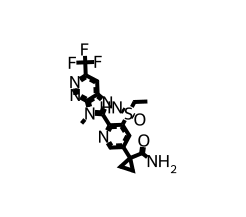 CCS(=N)(=O)c1cc(C2(C(N)=O)CC2)cnc1-c1nc2cc(C(F)(F)F)nnc2n1C